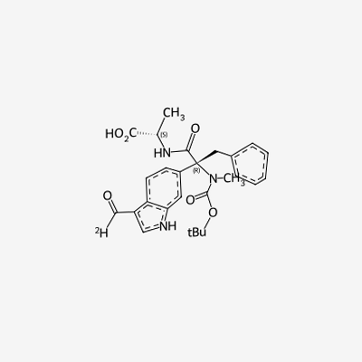 [2H]C(=O)c1c[nH]c2cc([C@](Cc3ccccc3)(C(=O)N[C@@H](C)C(=O)O)N(C)C(=O)OC(C)(C)C)ccc12